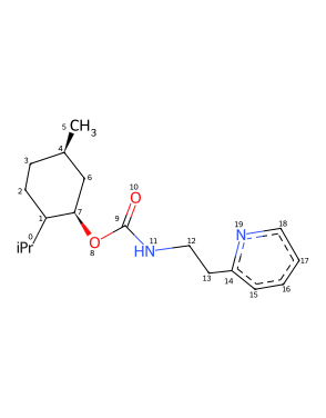 CC(C)C1CC[C@@H](C)C[C@H]1OC(=O)NCCc1ccccn1